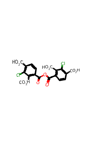 O=C(O)c1ccc(C(=O)OC(=O)c2ccc(C(=O)O)c(Cl)c2C(=O)O)c(C(=O)O)c1Cl